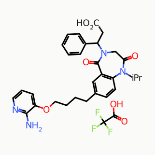 CC(C)N1C(=O)CN(C(CC(=O)O)c2ccccc2)C(=O)c2cc(CCCCOc3cccnc3N)ccc21.O=C(O)C(F)(F)F